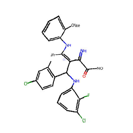 COc1ccccc1N/C(=C(\C(=N)C(=O)N=O)C(Nc1cccc(Cl)c1F)c1ccc(Cl)cc1C)C(C)C